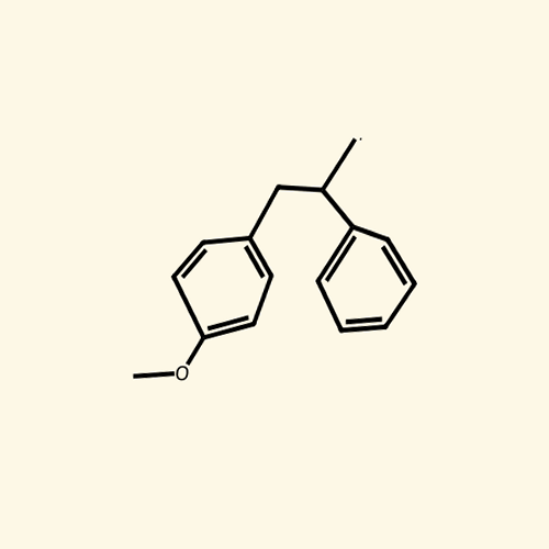 [CH2]C(Cc1ccc(OC)cc1)c1ccccc1